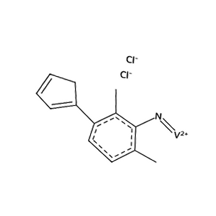 Cc1ccc(C2=CC=CC2)c(C)c1[N]=[V+2].[Cl-].[Cl-]